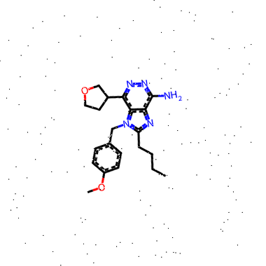 CCCCc1nc2c(N)nnc(C3CCOC3)c2n1Cc1ccc(OC)cc1